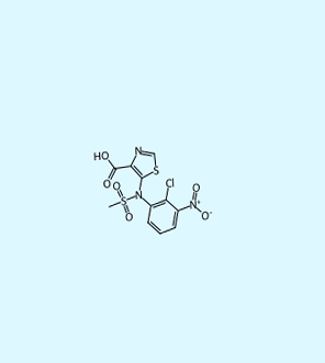 CS(=O)(=O)N(c1cccc([N+](=O)[O-])c1Cl)c1scnc1C(=O)O